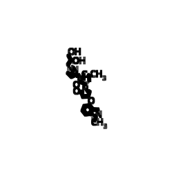 CC(C)C[C@@H](C(=O)Nc1ccn(C[C@@H](O)CO)n1)N1CC(Oc2cccc3c2cnn3C)=CC1=O